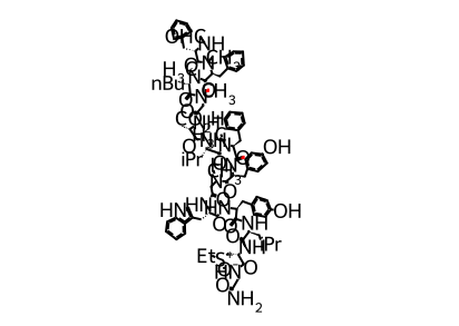 CCCC[C@@H](C(=O)N(C)CC(=O)N[C@@H](CC(=O)O)C(=O)N[C@H](C(=O)N(C)[C@@H](Cc1ccccc1)C(=O)N[C@@H](Cc1ccc(O)cc1)C(=O)N(C)CC(=O)N[C@@H](Cc1c[nH]c2ccccc12)C(=O)N[C@@H](Cc1ccc(O)cc1)C(=O)N[C@@H](CC(C)C)C(=O)N[C@@H](C[S+]([O-])CC)C(=O)NCC(N)=O)C(C)C)N(C)C(=O)[C@H](Cc1ccccc1)N(C)C(=O)[C@H](Cc1ccccc1)NC=O